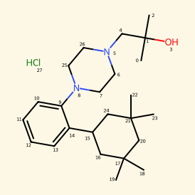 CC(C)(O)CN1CCN(c2ccccc2C2CC(C)(C)CC(C)(C)C2)CC1.Cl